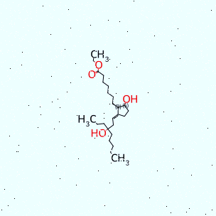 CCCCCC(O)(CC=C1CC[C@H](O)[C@@H]1CCCCCCC(=O)OCC)CCC